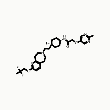 Cc1ncc(OCC(=O)N[C@H]2CC[C@](F)(CCN3CCc4ccc(OCC(C)(F)F)nc4CC3)CC2)cn1